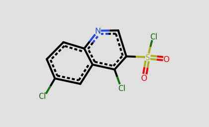 O=S(=O)(Cl)c1cnc2ccc(Cl)cc2c1Cl